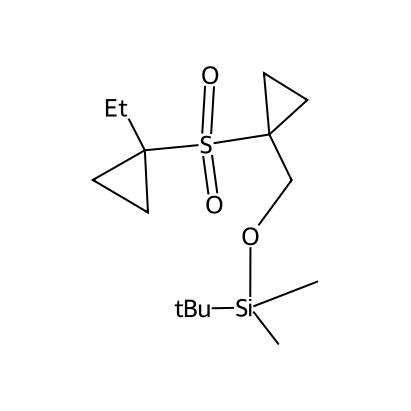 CCC1(S(=O)(=O)C2(CO[Si](C)(C)C(C)(C)C)CC2)CC1